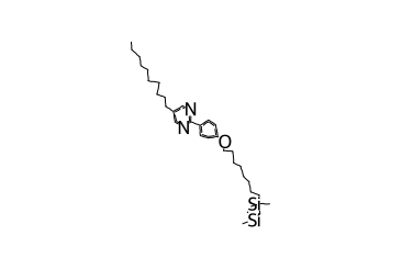 CCCCCCCCCCc1cnc(-c2ccc(OCCCCCCCC[Si](C)(C)C[Si](C)(C)C)cc2)nc1